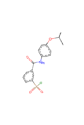 CC(C)Oc1ccc(NC(=O)c2cccc(S(=O)(=O)Cl)c2)cc1